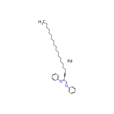 CCCCCCCCCCCCCCCCCCC#CC(C=Nc1ccccc1)=Nc1ccccc1.[Pd]